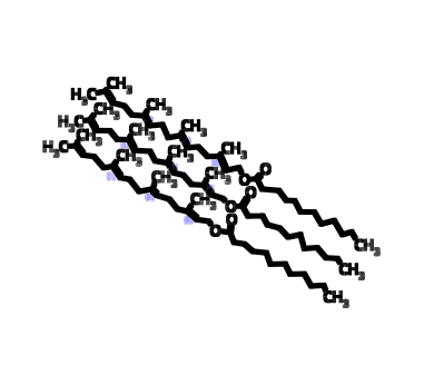 CCCCCCCCCCCC(=O)OC/C=C(\C)CC/C=C(\C)CC/C=C(\C)CCC=C(C)C.CCCCCCCCCCCC(=O)OC/C=C(\C)CC/C=C(\C)CC/C=C(\C)CCC=C(C)C.CCCCCCCCCCCC(=O)OC/C=C(\C)CC/C=C(\C)CC/C=C(\C)CCC=C(C)C